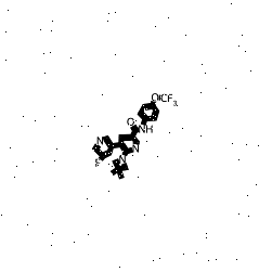 CC1(C)CN(c2ncc(C(=O)Nc3ccc(OC(F)(F)F)cc3)cc2-c2cncc(F)c2)C1